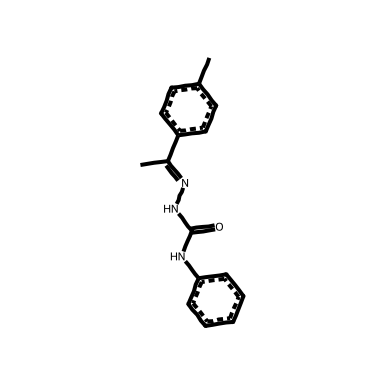 C/C(=N\NC(=O)Nc1ccccc1)c1ccc(C)cc1